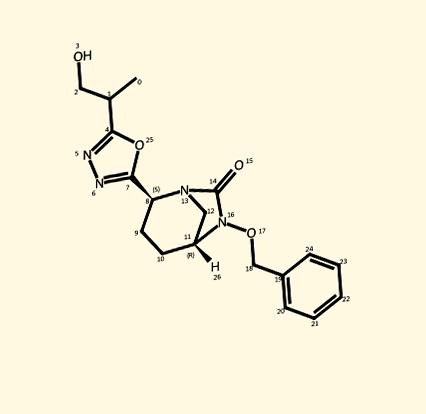 CC(CO)c1nnc([C@@H]2CC[C@@H]3CN2C(=O)N3OCc2ccccc2)o1